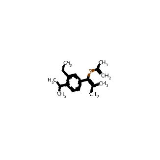 C=C(C)SC(=C(C)C)c1ccc(C(C)C)c(CC)c1